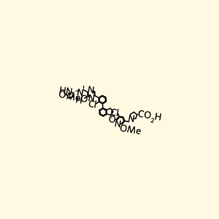 COc1nc(O[C@H]2CCc3c(-c4cccc(-c5cnc([C@H](C)NC[C@@H]6CCC(=O)N6)c(OC)n5)c4Cl)cccc32)c(Cl)cc1CN1CC[C@@H](C(=O)O)C1